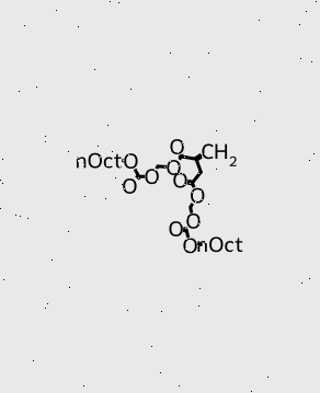 C=C(CC(=O)OCOC(=O)OCCCCCCCC)C(=O)OCOC(=O)OCCCCCCCC